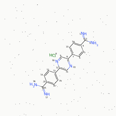 Cl.N=C(N)c1ccc(-c2cnc(-c3ccc(C(=N)N)cc3)cn2)cc1